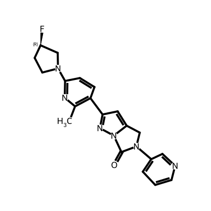 Cc1nc(N2CC[C@@H](F)C2)ccc1-c1cc2n(n1)C(=O)N(c1cccnc1)C2